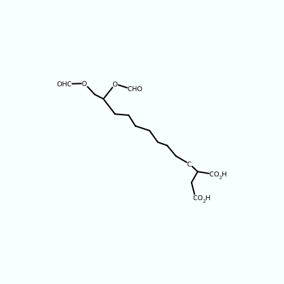 O=COCC(CCCCCCCCC(CC(=O)O)C(=O)O)OC=O